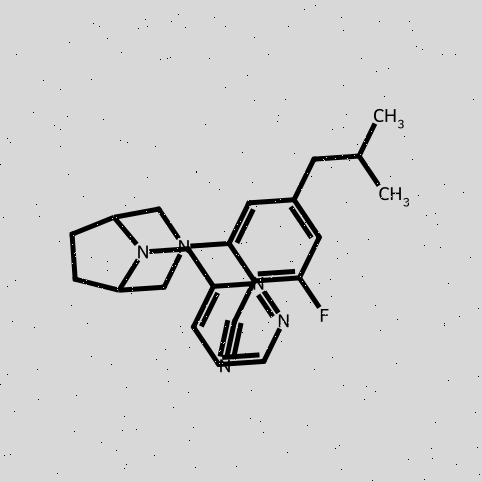 CC(C)Cc1cc(F)c(C#N)c(N2CC3CCC(C2)N3Cc2cccnn2)c1